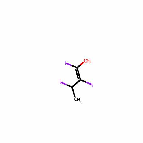 CC(I)/C(I)=C(/O)I